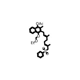 CCOCOc1c(C/C=C(\C)CC/C=C(\C)CS(=O)(=O)c2ccccc2)c(C)c(OC(C)=O)c2ccccc12